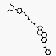 C[C@]12CC[C@@H]3c4ccc(OC(=O)c5ccccc5)cc4CC[C@H]3[C@@H]1CCC2OC(=O)COC(=O)CCCc1ccc(N(CCCl)CCCl)cc1